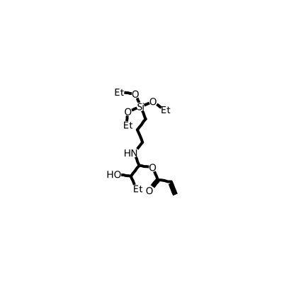 C=CC(=O)OC(NCCC[Si](OCC)(OCC)OCC)C(O)CC